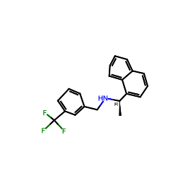 C[C@@H](NCc1cccc(C(F)(F)F)c1)c1cccc2ccccc12